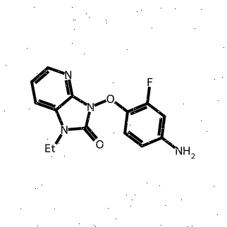 CCn1c(=O)n(Oc2ccc(N)cc2F)c2ncccc21